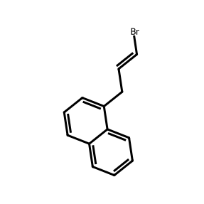 BrC=CCc1cccc2ccccc12